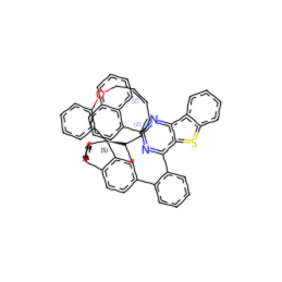 CC1/C=C\C=C/COc2ccccc2[C@]12c1ccccc1-c1ccc(-c3ccccc3-c3nc(-c4cccc5ccccc45)nc4c3sc3ccccc34)cc12